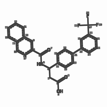 O=C(O)CC(NC(=O)c1cc2ccccc2cn1)c1ccc(-c2cccc(C(F)(F)F)c2)cc1